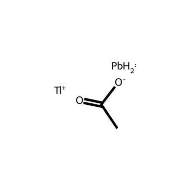 CC(=O)[O-].[PbH2].[Tl+]